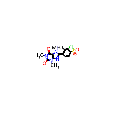 COc1cc(S(=O)(=O)Cl)ccc1-c1nc2c([nH]1)c(=O)n(C)c(=O)n2C